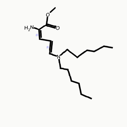 CCCCCCN(/C=C/C=C(/N)C(=O)OC)CCCCCC